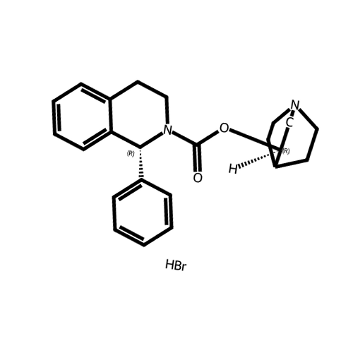 Br.O=C(O[C@H]1CN2CCC1CC2)N1CCc2ccccc2[C@H]1c1ccccc1